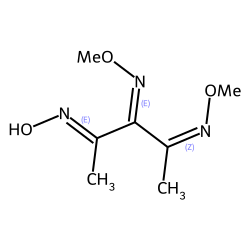 CO\N=C(C)/C(=N/OC)C(/C)=N/O